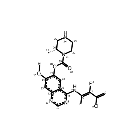 C=C(Cl)/C(F)=C(\C)Nc1ncnc2cc(OC)c(OC(=O)N3CCNC[C@H]3C)cc12